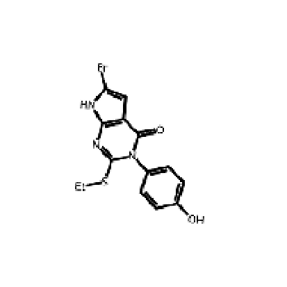 CCSc1nc2[nH]c(Br)cc2c(=O)n1-c1ccc(O)cc1